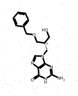 Nc1nc2c(ncn2C[C@@H](CO)COCc2ccccc2)c(=O)[nH]1